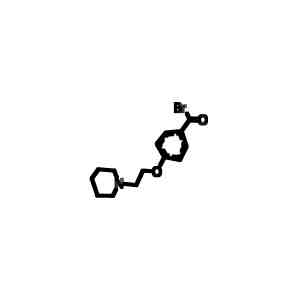 O=C(Br)c1ccc(OCCN2CCCCC2)cc1